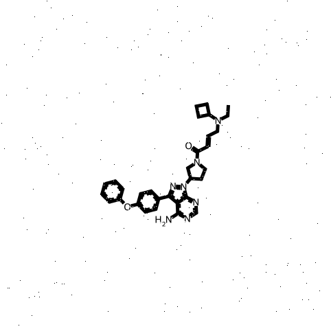 CCN(CC=CC(=O)N1CCC(n2nc(-c3ccc(Oc4ccccc4)cc3)c3c(N)ncnc32)C1)C1CCC1